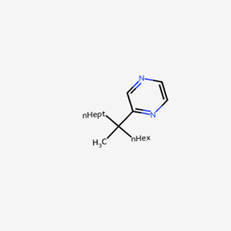 CCCCCCCC(C)(CCCCCC)c1cnccn1